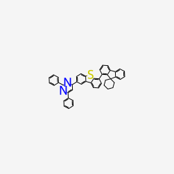 c1ccc(-c2cc(-c3ccc4sc5c(-c6cccc7c6C6(CCCCC6)c6ccccc6-7)cccc5c4c3)nc(-c3ccccc3)n2)cc1